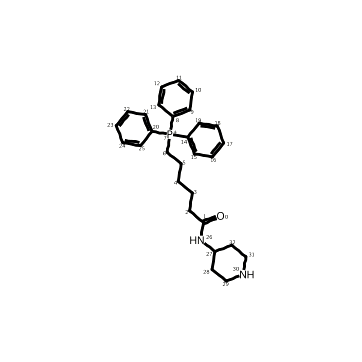 O=C(CCCCC[P+](c1ccccc1)(c1ccccc1)c1ccccc1)NC1CCNCC1